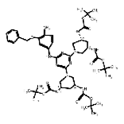 CC(C)(C)OC(=O)N[C@@H]1C[C@H](NC(=O)OC(C)(C)C)CN(c2nc(Nc3ccc(N)c(OCc4ccccc4)c3)nc(N3C[C@H](NC(=O)OC(C)(C)C)C[C@H](NC(=O)OC(C)(C)C)C3)n2)C1